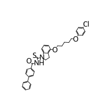 O=C(NC(=S)N1CCc2c(OCCCCCOc3ccc(Cl)cc3)cccc21)c1ccc(-c2ccccc2)cc1